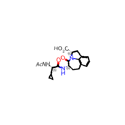 CC(=O)N[C@H](C(=O)N[C@H]1CCc2cccc3c2N(C1=O)[C@H](C(=O)O)C3)C1CC1